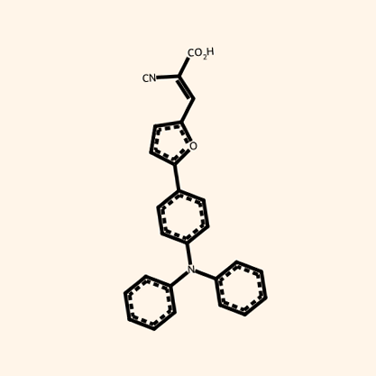 [C-]#[N+]/C(=C\c1ccc(-c2ccc(N(c3ccccc3)c3ccccc3)cc2)o1)C(=O)O